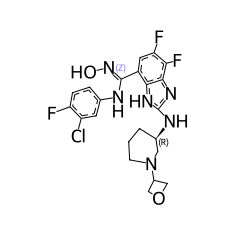 O/N=C(\Nc1ccc(F)c(Cl)c1)c1cc(F)c(F)c2nc(N[C@@H]3CCCN(C4COC4)C3)[nH]c12